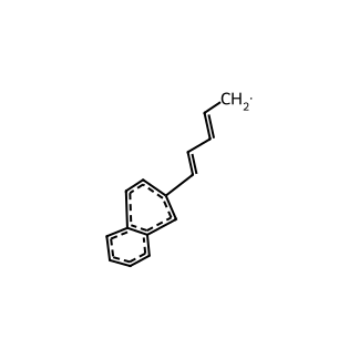 [CH2]/C=C/C=C/c1ccc2ccccc2c1